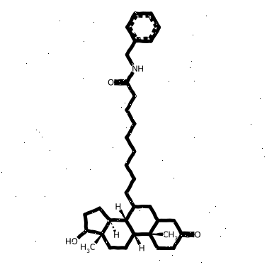 C[C@]12CCC(=O)CC1CC(CCCCCCCCC(=O)NCc1ccccc1)[C@@H]1[C@H]2CC[C@]2(C)C(O)CC[C@@H]12